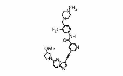 CO[C@@H]1CCN(c2ccc3ncc(C#Cc4cncc(C(=O)Nc5ccc(CN6CCN(C)CC6)c(C(F)(F)F)c5)c4)n3n2)C1